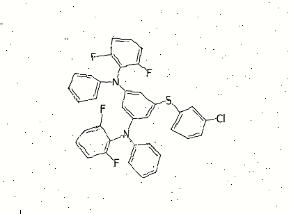 Fc1cccc(F)c1N(c1ccccc1)c1cc(Sc2cccc(Cl)c2)cc(N(c2ccccc2)c2c(F)cccc2F)c1